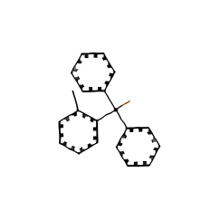 Cc1ccccc1C(S)(c1ccccc1)c1ccccc1